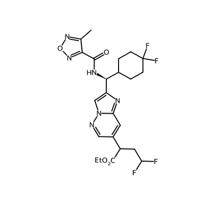 CCOC(=O)C(CC(F)F)c1cnn2cc([C@@H](NC(=O)c3nonc3C)C3CCC(F)(F)CC3)nc2c1